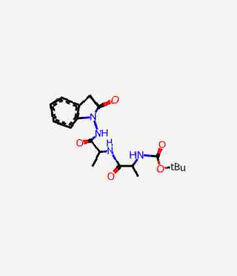 CC(NC(=O)OC(C)(C)C)C(=O)NC(C)C(=O)NN1C(=O)Cc2ccccc21